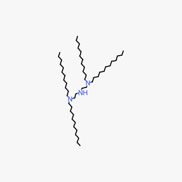 CCCCCCCCCCCCN(CCCCCCCCCCCC)CCNCCN(CCCCCCCCCCCC)CCCCCCCCCCCC